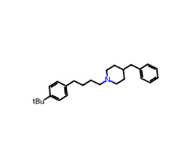 CC(C)(C)c1ccc(CCCCN2CCC(Cc3ccccc3)CC2)cc1